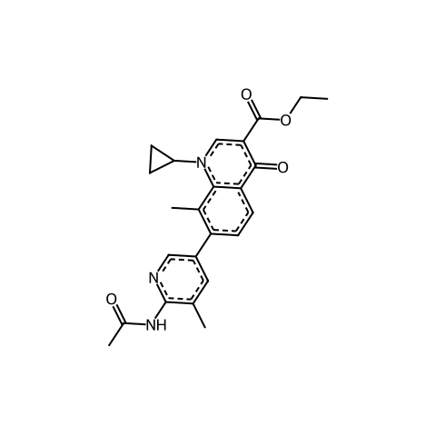 CCOC(=O)c1cn(C2CC2)c2c(C)c(-c3cnc(NC(C)=O)c(C)c3)ccc2c1=O